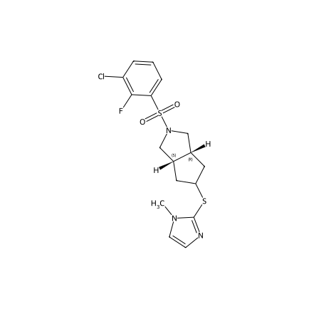 Cn1ccnc1SC1C[C@@H]2CN(S(=O)(=O)c3cccc(Cl)c3F)C[C@@H]2C1